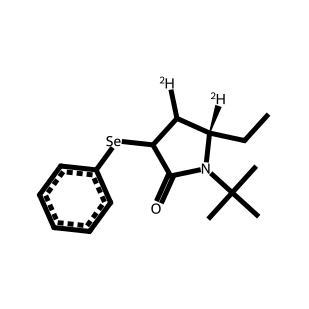 [2H]C1C([Se]c2ccccc2)C(=O)N(C(C)(C)C)[C@@]1([2H])CC